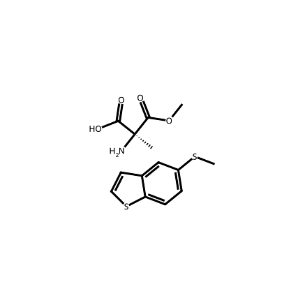 COC(=O)[C@@](C)(N)C(=O)O.CSc1ccc2sccc2c1